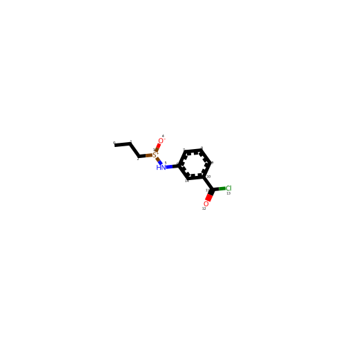 CCC[S+]([O-])Nc1cccc(C(=O)Cl)c1